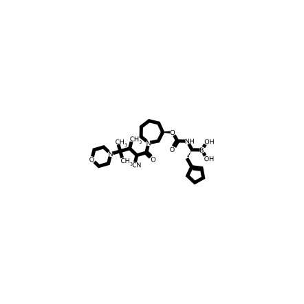 CC(C(C#N)C(=O)N1CCCC[C@@H](OC(=O)N[C@@H](CC2=CCCC2)B(O)O)C1)C(C)(C)N1CCOCC1